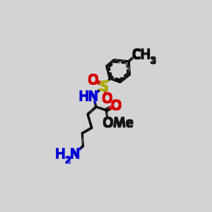 COC(=O)C(CCCCN)NS(=O)(=O)c1ccc(C)cc1